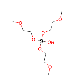 COCCO[Si](O)(OCCOC)OCCOC